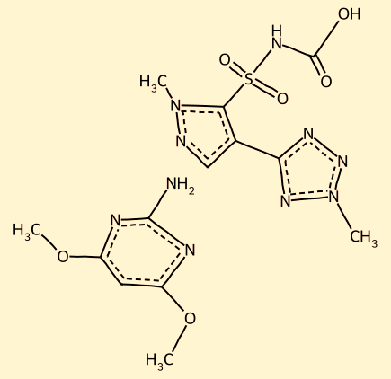 COc1cc(OC)nc(N)n1.Cn1nnc(-c2cnn(C)c2S(=O)(=O)NC(=O)O)n1